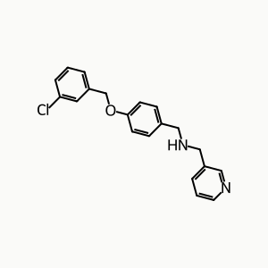 Clc1cccc(COc2ccc(CNCc3cccnc3)cc2)c1